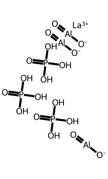 O=P(O)(O)O.O=P(O)(O)O.O=P(O)(O)O.[La+3].[O]=[Al][O-].[O]=[Al][O-].[O]=[Al][O-]